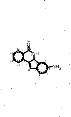 Nc1ccc2c(c1)C1NC(=O)c3ccccc3C1=C2